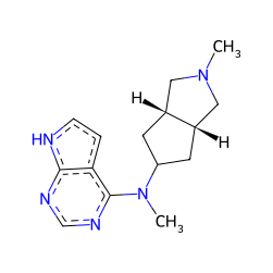 CN1C[C@H]2CC(N(C)c3ncnc4[nH]ccc34)C[C@H]2C1